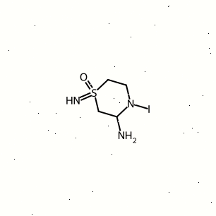 N=S1(=O)CCN(I)C(N)C1